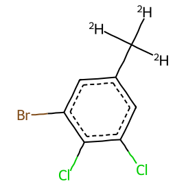 [2H]C([2H])([2H])c1cc(Cl)c(Cl)c(Br)c1